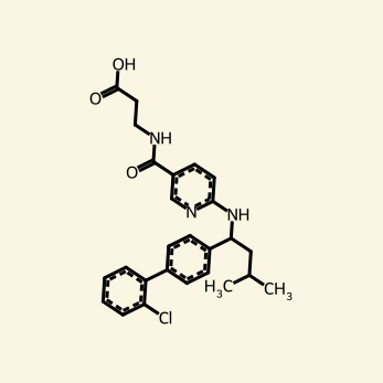 CC(C)CC(Nc1ccc(C(=O)NCCC(=O)O)cn1)c1ccc(-c2ccccc2Cl)cc1